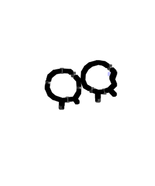 CC1C/C=C/CCCCCCCCCC(=O)C1.CC1CCCCCCCCCCCCC(=O)C1